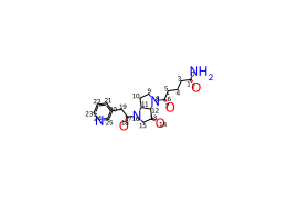 NC(=O)CC[CH]C(=O)N1CCC2C1C(=O)CN2C(=O)Cc1cccnc1